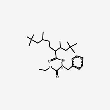 CCOC(=O)[C@H](Cc1ccccc1)NC(=O)C(CCC(C)CC(C)(C)C)C(C)CC(C)(C)C